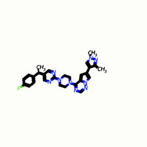 Cc1nn(C)cc1-c1cc2c(N3CCN(c4ncc([C@H](C)c5ccc(F)cc5)cn4)CC3)ncnn2c1